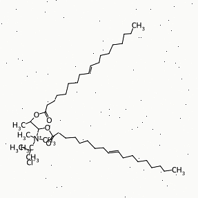 CCC.CCCCCCCCC=CCCCCCCCC(=O)OC(C)C(OC(=O)CCCCCCCC=CCCCCCCCC)[N+](C)(C)C.[Cl-]